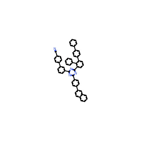 N#Cc1ccc(-c2cccc(-c3nc(-c4ccc(-c5ccc6ccccc6c5)cc4)nc(-c4cccc(-c5ccc(-c6ccccc6)cc5)c4-c4ccccc4)n3)c2)cc1